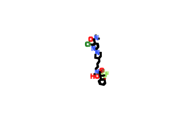 CN(C)C(=O)c1ccc(N2CCC(CCCCN(C)C(=O)C(O)(c3ccccc3)C(F)(F)F)CC2)nc1Cl